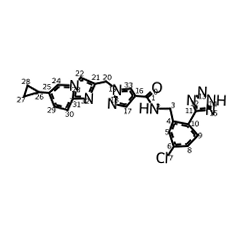 O=C(NCc1cc(Cl)ccc1-c1nn[nH]n1)c1cnn(Cc2cn3cc(C4CC4)ccc3n2)c1